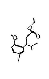 CCOC(=O)C=C(c1cc(C)ccc1OC)C(C)C